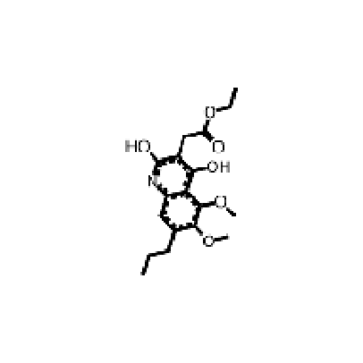 CCCc1cc2nc(O)c(CC(=O)OCC)c(O)c2c(OC)c1OC